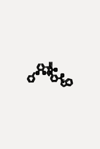 CC12CC(NC(=O)N1c1cccc(C(=O)N3CCc4ccccc43)c1)c1cccc(OCc3ccccc3)c1O2